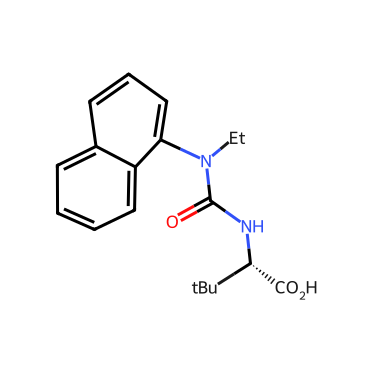 CCN(C(=O)N[C@H](C(=O)O)C(C)(C)C)c1cccc2ccccc12